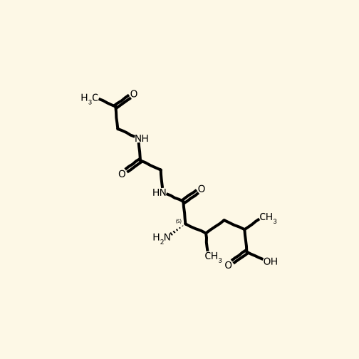 CC(=O)CNC(=O)CNC(=O)[C@@H](N)C(C)CC(C)C(=O)O